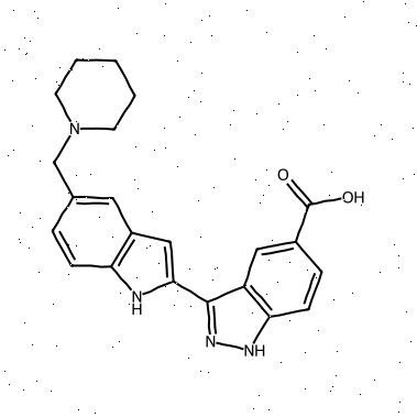 O=C(O)c1ccc2[nH]nc(-c3cc4cc(CN5CCCCC5)ccc4[nH]3)c2c1